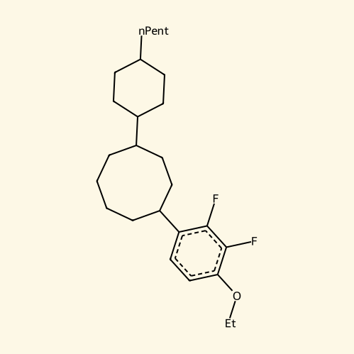 CCCCCC1CCC(C2CCCCC(c3ccc(OCC)c(F)c3F)CC2)CC1